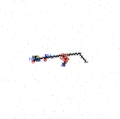 CCCCCCCC/C=C\CCCCCCCCOC[C@H](COP(=O)([O-])OCC[N+](C)(C)C)OC(=O)CCCCCCCCCCC(N)C(=O)CCCC[C@@H]1SC[C@@H]2NC(=O)N[C@@H]21